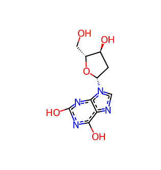 OC[C@H]1O[C@@H](n2cnc3c(O)nc(O)nc32)C[C@@H]1O